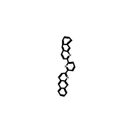 c1cc(-c2ccc3cc4ccccc4cc3n2)nc(-c2ccc3cc4ccccc4cc3n2)c1